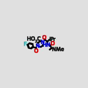 CNC(C)C(=O)NC(C(=O)N1CCN(C(=O)c2ccc(F)cc2)CC1C(=O)O)C(C)C